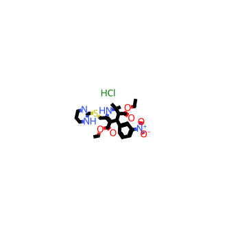 CCOC(=O)C1=C(CSC2=NCCCN2)NC(C)(C)C(C(=O)OCC)C1c1cccc([N+](=O)[O-])c1.Cl